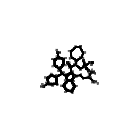 CN(C)CCn1c(C(=O)N(CS(=O)(=O)O)C2CCCCCC2)c(C(c2ccc(O)cc2)c2ccc(O)cc2)c2ccccc21